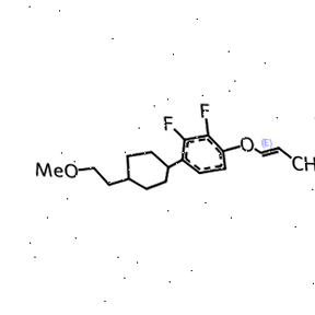 C/C=C/Oc1ccc(C2CCC(CCOC)CC2)c(F)c1F